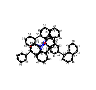 c1ccc(-c2ccc(N(c3ccc(-c4cccc5ccccc45)cc3-c3ccccc3)c3ccccc3-c3ccccc3-n3c4ccccc4c4ccccc43)cc2)cc1